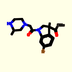 COC(=O)C1(C)CN(C(=O)CN2CCNC(C)C2)c2cc(Br)ccc21